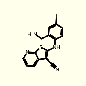 N#Cc1c(Nc2ccc(I)cc2CN)sc2ncccc12